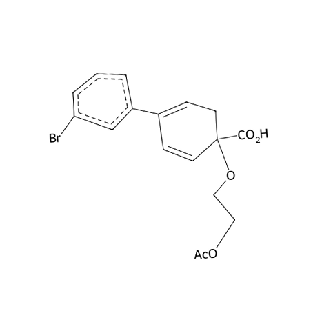 CC(=O)OCCOC1(C(=O)O)C=CC(c2cccc(Br)c2)=CC1